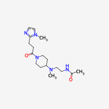 CC(=O)NCCN(C)C1CCN(C(=O)CCc2nccn2C)CC1